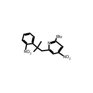 CC(C)(C)c1cc([N+](=O)[O-])cc(CC(C)(C)c2ccccc2[N+](=O)[O-])n1